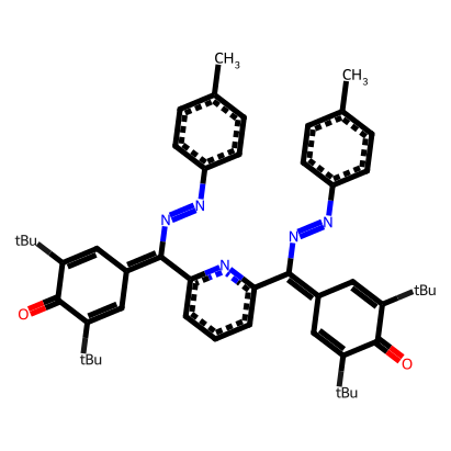 Cc1ccc(/N=N/C(=C2C=C(C(C)(C)C)C(=O)C(C(C)(C)C)=C2)c2cccc(C(/N=N/c3ccc(C)cc3)=C3C=C(C(C)(C)C)C(=O)C(C(C)(C)C)=C3)n2)cc1